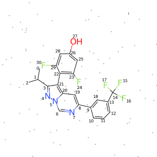 CC(C)c1nn2cnc(-c3cccc(C(F)(F)F)c3)cc2c1-c1c(F)cc(O)cc1F